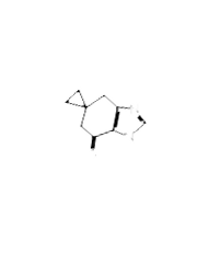 O=C1CC2(CC2)Cc2nc[nH]c21